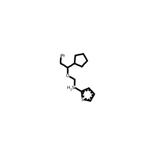 CC(C)CC(OC[SiH2]c1cccs1)C1CCCC1